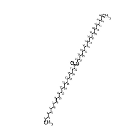 CCCCCCCCC=CCCCCCCCCCCCCCC(=O)OCCCCCCCCCCCCCCCCCCCCCC